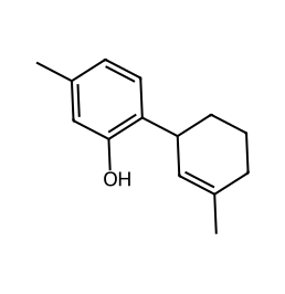 CC1=CC(c2ccc(C)cc2O)CCC1